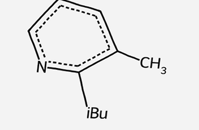 C[CH]C(C)c1ncccc1C